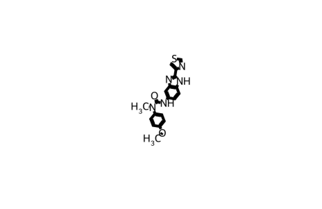 COc1ccc(N(C)C(=O)Nc2ccc3[nH]c(-c4cscn4)nc3c2)cc1